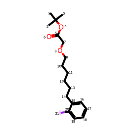 CC(C)(C)OC(=O)COCCCCCCc1ccccc1I